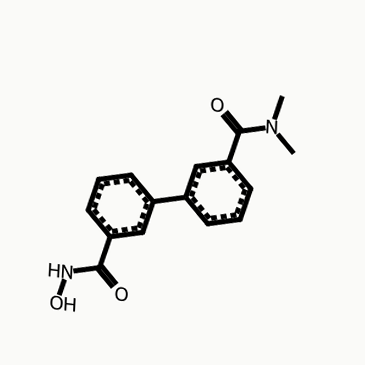 CN(C)C(=O)c1cccc(-c2cccc(C(=O)NO)c2)c1